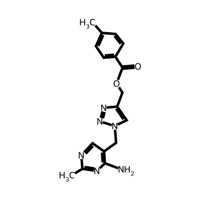 Cc1ccc(C(=O)OCc2cn(Cc3cnc(C)nc3N)nn2)cc1